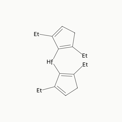 CCC1=CCC(CC)=[C]1[Hf][C]1=C(CC)CC=C1CC